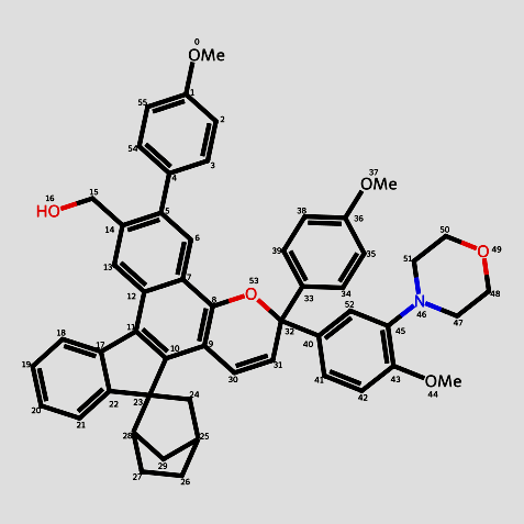 COc1ccc(-c2cc3c4c(c5c(c3cc2CO)-c2ccccc2C52CC3CCC2C3)C=CC(c2ccc(OC)cc2)(c2ccc(OC)c(N3CCOCC3)c2)O4)cc1